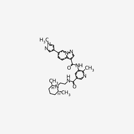 Cc1ncc(C(=O)NCCN2[C@H](C)CCC[C@@H]2C)cc1NC(=O)c1cnn2cc(-c3cnn(C)c3)ccc12